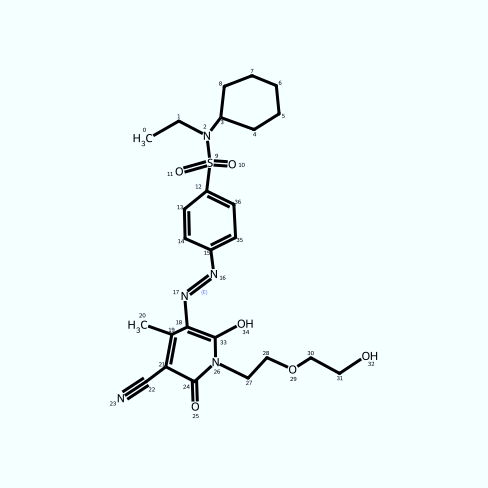 CCN(C1CCCCC1)S(=O)(=O)c1ccc(/N=N/c2c(C)c(C#N)c(=O)n(CCOCCO)c2O)cc1